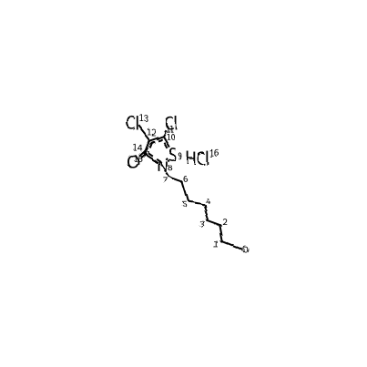 CCCCCCCCn1sc(Cl)c(Cl)c1=O.Cl